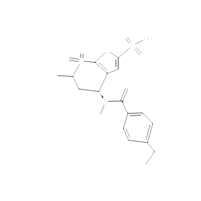 CCN(C(=O)c1ccc(CCl)cc1)[C@H]1CC(C)S(=O)(=O)c2sc(S(N)(=O)=O)cc21